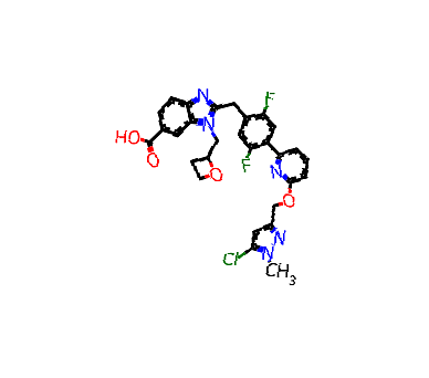 Cn1nc(COc2cccc(-c3cc(F)c(Cc4nc5ccc(C(=O)O)cc5n4CC4CCO4)cc3F)n2)cc1Cl